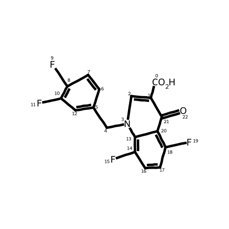 O=C(O)c1cn(Cc2ccc(F)c(F)c2)c2c(F)ccc(F)c2c1=O